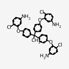 CC(c1ccc(Oc2cc(N)ccc2Cl)cc1)(c1ccc(Oc2cc(N)ccc2Cl)cc1)c1ccc(Oc2cc(N)ccc2Cl)cc1